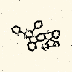 c1ccc(-c2nc(-c3ccccn3)nc(-c3ccccc3-c3ccc4c(c3)C3(c5ccccc5S4)c4ccccc4-c4ccccc43)n2)cc1